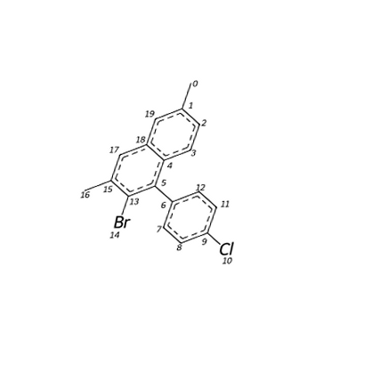 Cc1ccc2c(-c3ccc(Cl)cc3)c(Br)c(C)cc2c1